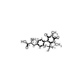 Cn1c(C(F)(F)F)c(-c2ccc(C[C@H](N)C(=O)O)cc2)c(=O)n(C)c1=O